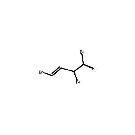 BrC=CC(Br)C(Br)Br